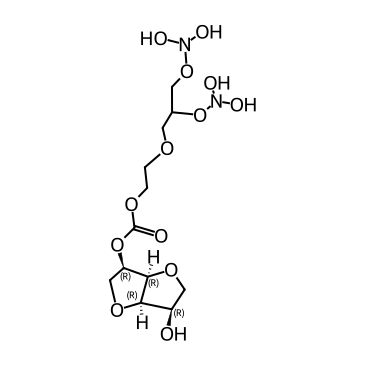 O=C(OCCOCC(CON(O)O)ON(O)O)O[C@@H]1CO[C@H]2[C@@H]1OC[C@H]2O